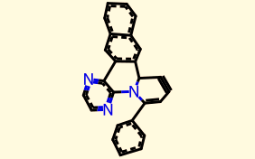 C1#CC2c3cc4ccccc4cc3-c3nccnc3N2C(c2ccccc2)=C1